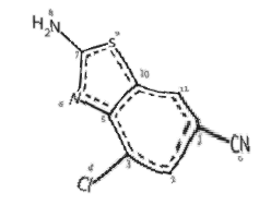 N#Cc1cc(Cl)c2nc(N)sc2c1